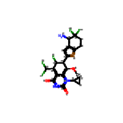 COC1=c2c(c(=O)[nH]c(=O)n2C2CC2)=C(C(F)F)C(F)C1c1cc2c(s1)CCC(F)(F)C2N